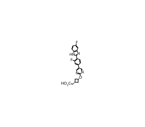 O=C(O)C[C@H]1C[C@@H](Oc2ncc(-c3ccc(-c4nc5cc(F)ccc5[nH]4)c(F)c3)cn2)C1